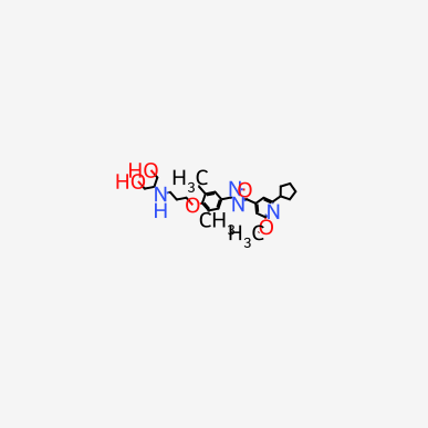 CCc1cc(-c2noc(-c3cc(OC)nc(C4CCCC4)c3)n2)cc(C)c1OCCCNC(CO)CO